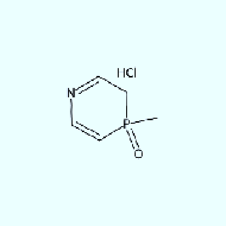 CP1(=O)C=CN=CC1.Cl